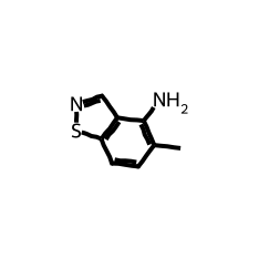 Cc1ccc2sncc2c1N